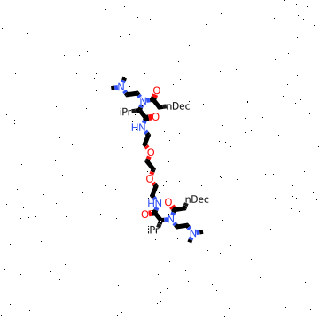 CCCCCCCCCCCC(=O)N(CCN(C)C)C(C(=O)NCCOCCOCCNC(=O)C(C(C)C)N(CCN(C)C)C(=O)CCCCCCCCCCC)C(C)C